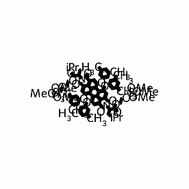 CO[Si](COCCOC(=O)C(CC(C)C)N1C(=O)c2cc(Oc3cc(C)cc(C)c3)c3c4c(Oc5cc(C)cc(C)c5)cc5c6c(cc(Oc7cc(C)cc(C)c7)c(c7c(Oc8cc(C)cc(C)c8)cc(c2c37)C1=O)c64)C(=O)N(C(CC(C)C)C(=O)OCCOC[Si](OC)(OC)OC)C5=O)(OC)OC